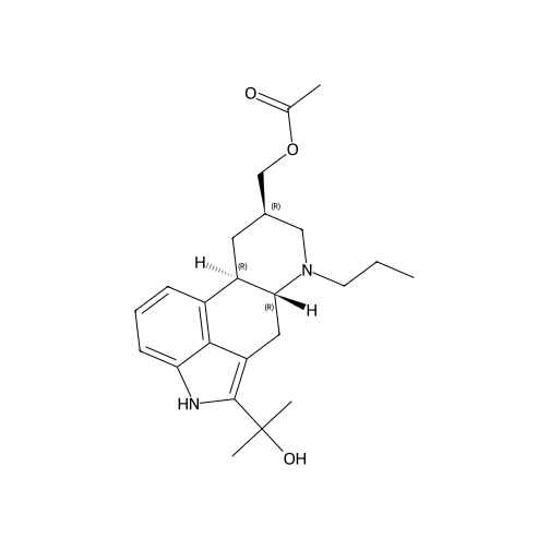 CCCN1C[C@H](COC(C)=O)C[C@@H]2c3cccc4[nH]c(C(C)(C)O)c(c34)C[C@H]21